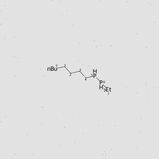 CCCCCCCCP[PH3]CC